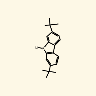 [Li][p]1c2cc(C(C)(C)C)ccc2c2ccc(C(C)(C)C)cc21